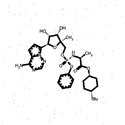 C[C@H](N[P@](=O)(OC[C@@]1(C)O[C@@H](c2ccc3c(N)ncnn23)[C@H](O)[C@@H]1O)Oc1ccccc1)C(=O)O[C@H]1CC[C@H](C(C)(C)C)CC1